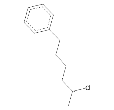 C[C](Cl)CCCCc1ccccc1